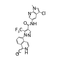 Cn1cc(Cl)c2cc(NC(=O)c3cnn(-c4cccc5c4C=CNC5=C=O)c3C(F)(F)F)cnc21